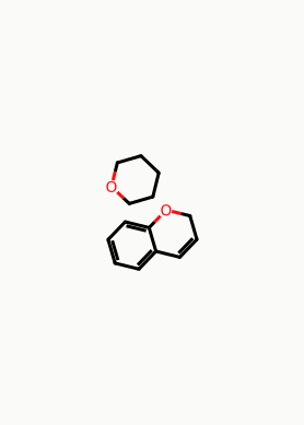 C1=Cc2ccccc2OC1.C1CCOCC1